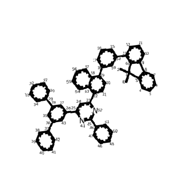 CC1(C)c2ccccc2-c2cccc(-c3cccc(-c4ccc(-c5cc(-c6cc(-c7ccccc7)cc(-c7ccccc7)c6)nc(-c6ccccc6)n5)c5ccccc45)c3)c21